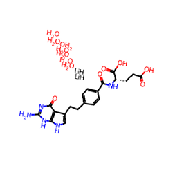 Nc1nc(=O)c2c(CCc3ccc(C(=O)N[C@@H](CCC(=O)O)C(=O)O)cc3)c[nH]c2[nH]1.O.O.O.O.O.O.O.[LiH].[LiH]